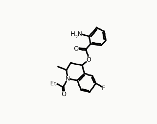 CCC(=O)N1c2ccc(F)cc2C(OC(=O)c2ccccc2N)CC1C